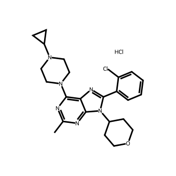 Cc1nc(N2CCN(C3CC3)CC2)c2nc(-c3ccccc3Cl)n(C3CCOCC3)c2n1.Cl